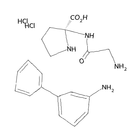 Cl.Cl.NCC(=O)N[C@]1(C(=O)O)CCCN1.Nc1cccc(-c2ccccc2)c1